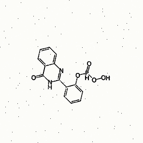 O=c1[nH]c(-c2ccccc2O[PH](=O)OO)nc2ccccc12